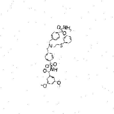 COc1cc(OC)cc(C(=O)NS(=O)(=O)c2ccc(CN(CCSc3ccccc3)Cc3ccc(S(N)(=O)=O)cc3)cc2)c1